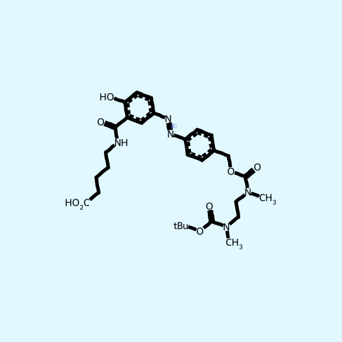 CN(CCN(C)C(=O)OC(C)(C)C)C(=O)OCc1ccc(/N=N/c2ccc(O)c(C(=O)NCCCCC(=O)O)c2)cc1